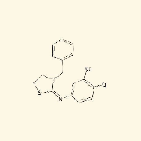 Clc1ccc(N=C2SCCN2Cc2ccccc2)cc1Cl